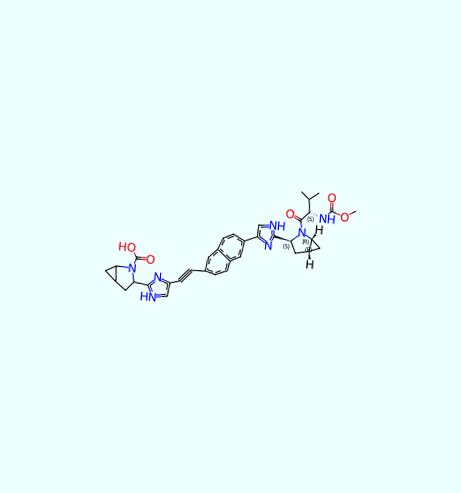 COC(=O)N[C@H](C(=O)N1[C@@H]2C[C@@H]2C[C@H]1c1nc(-c2ccc3cc(C#Cc4c[nH]c(C5CC6CC6N5C(=O)O)n4)ccc3c2)c[nH]1)C(C)C